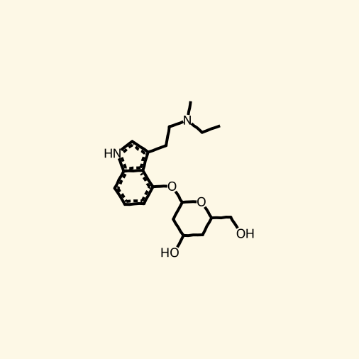 CCN(C)CCc1c[nH]c2cccc(OC3CC(O)CC(CO)O3)c12